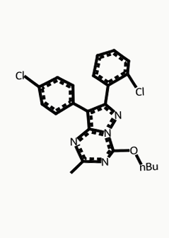 CCCCOc1nc(C)nc2c(-c3ccc(Cl)cc3)c(-c3ccccc3Cl)nn12